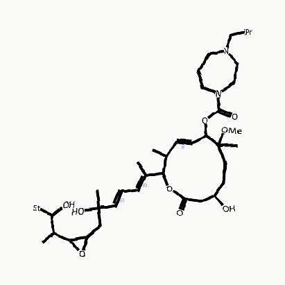 CCC(O)C(C)C1OC1CC(C)(O)/C=C/C=C(\C)C1OC(=O)CC(O)CCC(C)(OC)C(OC(=O)N2CCCN(CC(C)C)CC2)/C=C/C1C